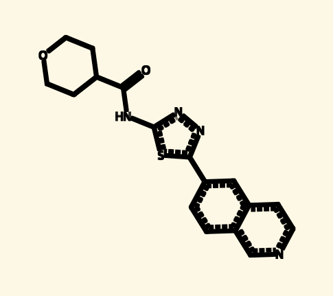 O=C(Nc1nnc(-c2ccc3cnccc3c2)s1)C1CCOCC1